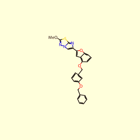 COc1nn2cc(-c3cc4c(OCc5cccc(OCc6ccccc6)c5)cccc4o3)nc2s1